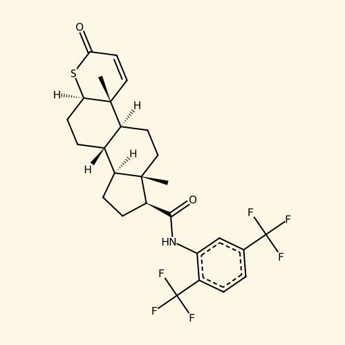 C[C@]12C=CC(=O)S[C@@H]1CC[C@@H]1[C@@H]2CC[C@]2(C)[C@@H](C(=O)Nc3cc(C(F)(F)F)ccc3C(F)(F)F)CC[C@@H]12